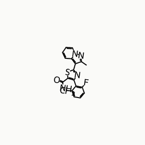 Cc1nn2ccccc2c1-c1nc(-c2c(F)cccc2Cl)c(C(N)=O)s1